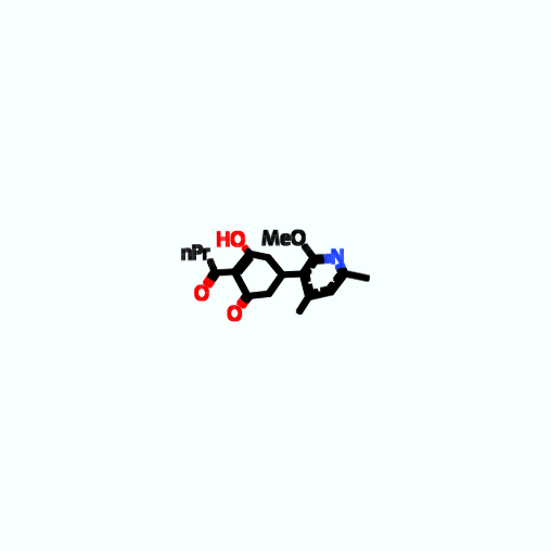 CCCC(=O)C1=C(O)CC(c2c(C)cc(C)nc2OC)CC1=O